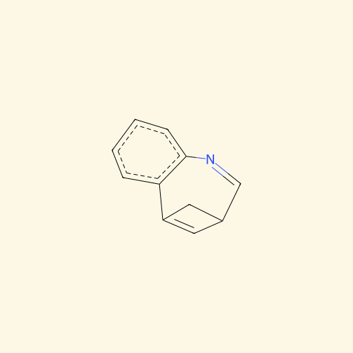 C1=Nc2ccccc2C2=CC1C2